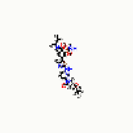 CNS(=O)(=O)c1cc(-c2sc(Nc3cccc(N4C[C@H](O[Si](C)(C)C(C)(C)C)CC4=O)n3)nc2C)cc2c1C(=O)N([C@@H](C)C1CC1)C2